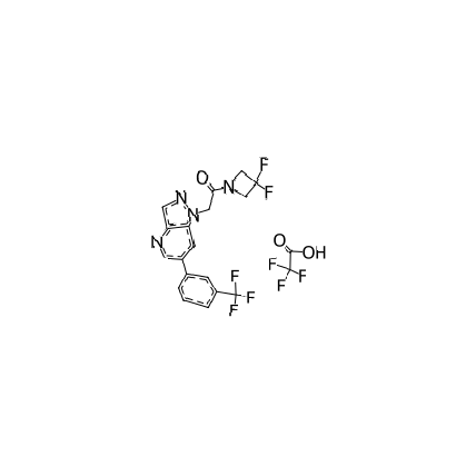 O=C(Cn1ncc2ncc(-c3cccc(C(F)(F)F)c3)cc21)N1CC(F)(F)C1.O=C(O)C(F)(F)F